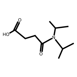 CC(C)N(C(=O)CCC(=O)O)C(C)C